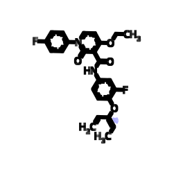 C=C/C(=C\C)Oc1ccc(NC(=O)c2c(OCC)ccn(-c3ccc(F)cc3)c2=O)cc1F